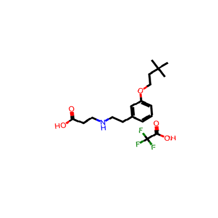 CC(C)(C)CCOc1cccc(CCNCCC(=O)O)c1.O=C(O)C(F)(F)F